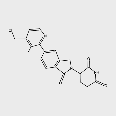 Cc1c(CCl)ccnc1-c1ccc2c(c1)CN(C1CCC(=O)NC1=O)C2=O